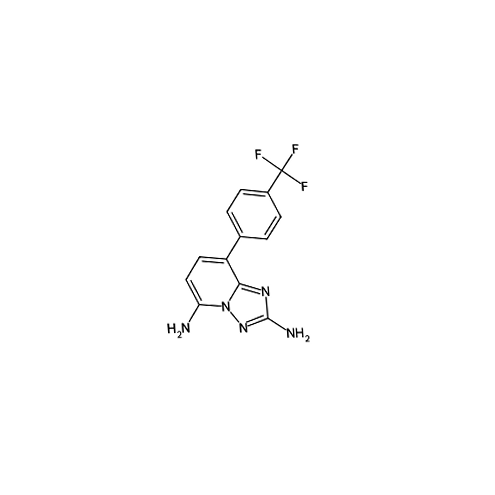 Nc1nc2c(-c3ccc(C(F)(F)F)cc3)ccc(N)n2n1